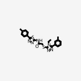 CCn1c(SCC(=O)Nc2nnc(-c3ccc(C)cc3)s2)nnc1-c1cccc(C)c1